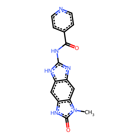 Cn1c(=O)[nH]c2cc3[nH]c(NC(=O)c4ccncc4)nc3cc21